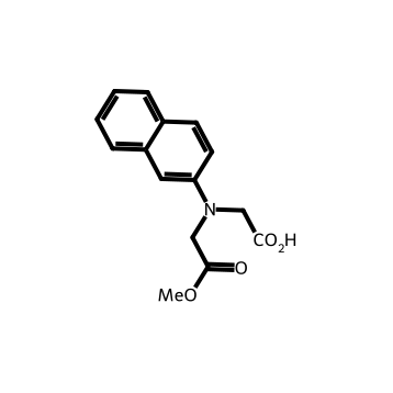 COC(=O)CN(CC(=O)O)c1ccc2ccccc2c1